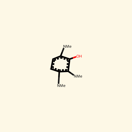 CNc1[c]cc(NC)c(O)c1NC